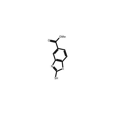 COC(=O)c1ccc2sc(S)nc2c1